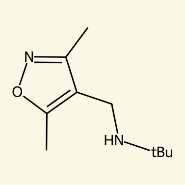 Cc1noc(C)c1CNC(C)(C)C